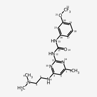 Cc1cc(NCCN(C)C)nc(NC(=O)Nc2cccc(OC(F)(F)F)c2)n1